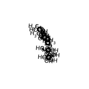 C[C@@H]1CO[C@]2(CC1O)O[C@H]1C[C@H]3[C@@H]4CC=C5C[C@@H](O[C@@H]6O[C@H](CO)[C@H](O[C@@H]7O[C@H](CO)[C@@H](O)[C@H](O)[C@H]7O)[C@H](O)[C@H]6O)CC[C@]5(C)[C@H]4CC(=O)[C@]3(C)[C@H]1[C@@H]2C